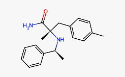 Cc1ccc(C[C@](C)(N[C@@H](C)c2ccccc2)C(N)=O)cc1